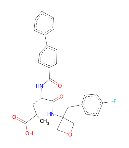 C[C@@H](C[C@H](NC(=O)c1ccc(-c2ccccc2)cc1)C(=O)NC1(Cc2ccc(F)cc2)COC1)C(=O)O